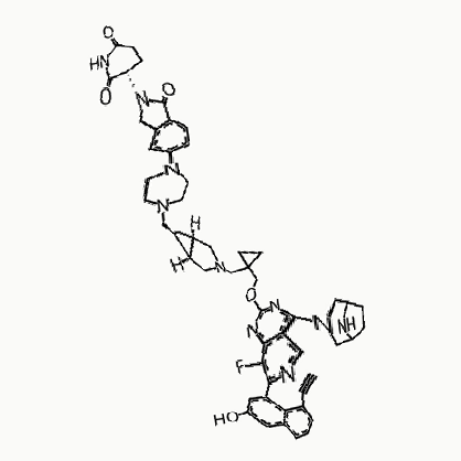 C#Cc1cccc2cc(O)cc(-c3ncc4c(N5CC6CCC(C5)N6)nc(OCC5(CN6C[C@@H]7[C@@H](CN8CCN(c9ccc%10c(c9)CN([C@H]9CCC(=O)NC9=O)C%10=O)CC8)[C@@H]7C6)CC5)nc4c3F)c12